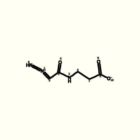 N=[N+]=CC(=O)NCCC(=O)[O-]